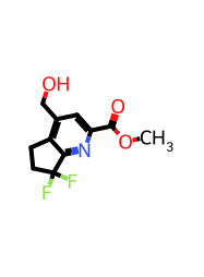 COC(=O)c1cc(CO)c2c(n1)C(F)(F)CC2